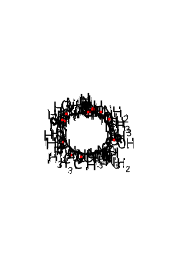 CCCC[C@H]1C(=O)N(C)[C@@H](CCCC)C(=O)N[C@@H](C)C(=O)N[C@H](C(=O)NCC(N)=O)CSCC(=O)N[C@@H](Cc2ccc(O)cc2)C(=O)N(C)[C@@H](C)C(=O)N[C@@H](CC(N)=O)C(=O)N2CCC[C@H]2C(=O)N[C@@H](Cc2cnc[nH]2)C(=O)N[C@@H](CCC(N)=O)C(=O)N2CCNC[C@H]2C(=O)N[C@@H](Cc2c[nH]c3ccccc23)C(=O)N[C@@H](CO)C(=O)N[C@@H](Cc2c[nH]c3ccccc23)C(=O)N1C